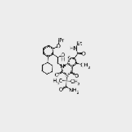 CCNC(=O)c1sc2c(c1C)c(=O)n(C(C)(C)C(N)=O)c(=O)n2C[C@H](O)c1c(OC(C)C)cccc1C1CCCCC1